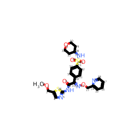 COCc1cnc(NC(=O)/C(=N/OCc2ccccn2)c2ccc(S(=O)(=O)NC3CCOCC3)cc2)s1